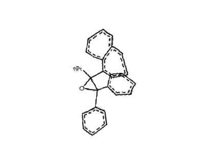 CCCC1(c2cccc3ccccc23)OC1(c1ccccc1)c1ccccc1